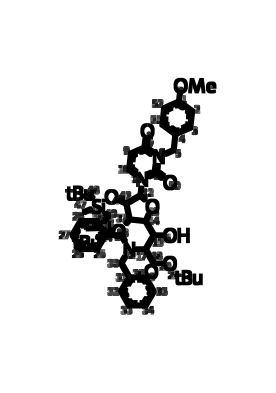 COc1ccc(Cn2c(=O)ccn(C3OC(C(O)C(C(=O)OC(C)(C)C)N(Cc4ccccc4)Cc4ccccc4)C(O[Si](C)(C)C(C)(C)C)C3O[Si](C)(C)C(C)(C)C)c2=O)cc1